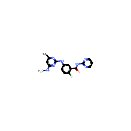 CNc1cc(C)nc(Nc2ccc(Cl)c(C(=O)Nc3ncccn3)c2)n1